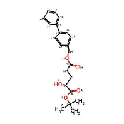 CC(C)(C)OC(=O)[C@@H](O)CCC(=O)OCc1ccc(-c2ccccc2)cc1